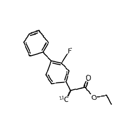 CCOC(=O)C([11CH3])c1ccc(-c2ccccc2)c(F)c1